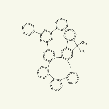 CC1(C)c2ccccc2-c2cc3c(cc21)Sc1ccccc1-c1ccccc1-c1ccccc1-c1ccc(-c2nc(-c4ccccc4)nc(-c4ccccc4)n2)cc1-3